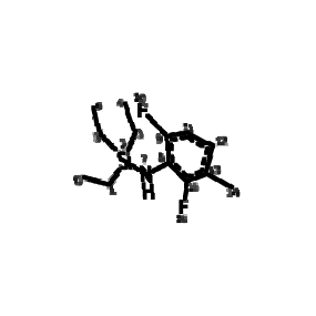 CC[Si](CC)(CC)Nc1c(F)ccc(C)c1F